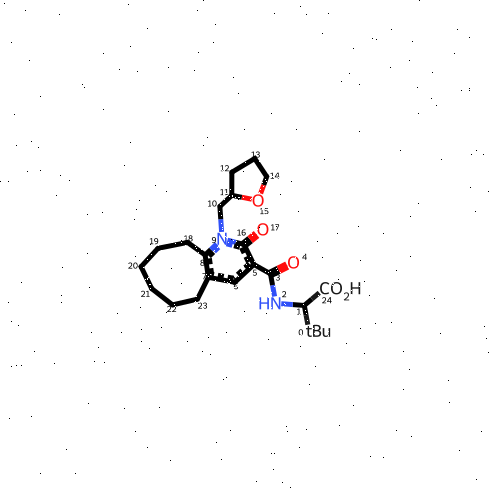 CC(C)(C)C(NC(=O)c1cc2c(n(CC3CCCO3)c1=O)CCCCCC2)C(=O)O